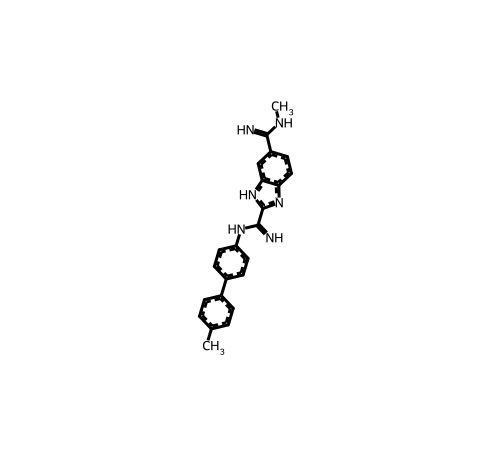 CNC(=N)c1ccc2nc(C(=N)Nc3ccc(-c4ccc(C)cc4)cc3)[nH]c2c1